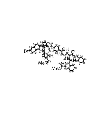 CN[C@@H](C)C(=O)N[C@H]1CN(C(=O)c2ccc(C(O)N[C@H]3C[C@@H](C(=O)NCc4ccccc4)N(C(=O)[C@@H](NC(=O)[C@H](C)NC)C4CCCCC4)C3)cc2)c2ccccc2N(Cc2c(OC)ccc3cc(Br)ccc23)C1=O